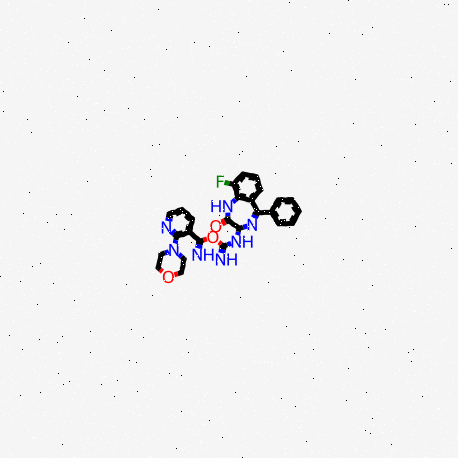 N=C(NC1N=C(c2ccccc2)c2cccc(F)c2NC1=O)OC(=N)c1cccnc1N1CCOCC1